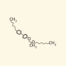 CCCCCCCCOC(C)COc1ccc(-c2ccc(CCCCCC)cc2)cc1